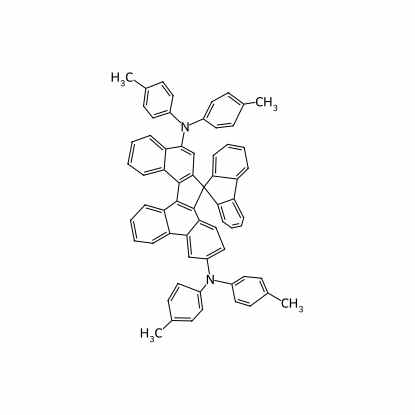 Cc1ccc(N(c2ccc(C)cc2)c2ccc3c4c(c5ccccc5c3c2)-c2c(cc(N(c3ccc(C)cc3)c3ccc(C)cc3)c3ccccc23)C42c3ccccc3-c3ccccc32)cc1